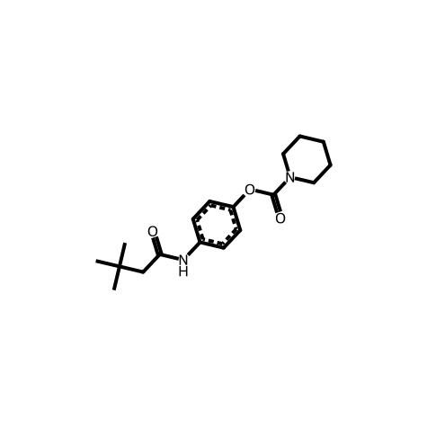 CC(C)(C)CC(=O)Nc1ccc(OC(=O)N2CCCCC2)cc1